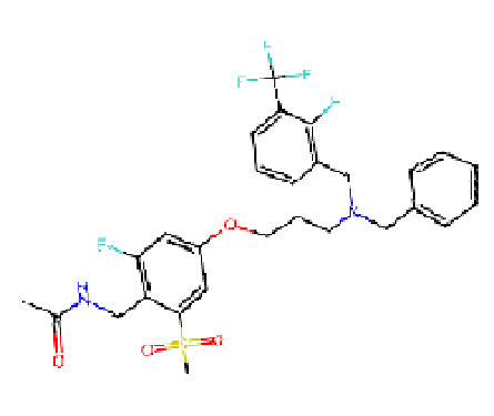 CC(=O)NCc1c(F)cc(OCCCN(Cc2ccccc2)Cc2cccc(C(F)(F)F)c2F)cc1S(C)(=O)=O